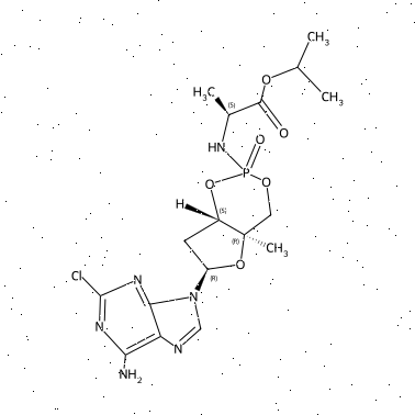 CC(C)OC(=O)[C@H](C)NP1(=O)OC[C@@]2(C)O[C@@H](n3cnc4c(N)nc(Cl)nc43)C[C@@H]2O1